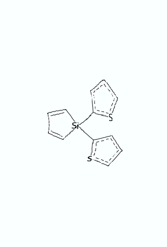 C1=C[Si](c2cccs2)(c2cccs2)C=C1